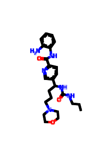 CCCNC(=O)NC(CCCN1CCOCC1)c1ccc(C(=O)Nc2ccccc2N)nc1